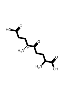 NC(CCC(=O)[C@H](N)CCC(=O)O)C(=O)O